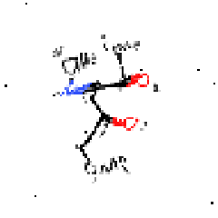 COCC(=O)C(=NOC)C(=O)OC